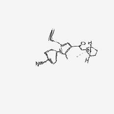 Cc1c(C(=O)CN2[C@H]3CC[C@@H]2[C@H](C)C3)cc(C#N)n1-c1ccc(C#N)cc1